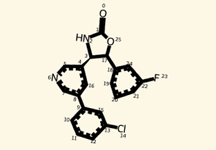 O=C1N[C@H](c2cncc(-c3cccc(Cl)c3)c2)C(c2cccc(F)c2)O1